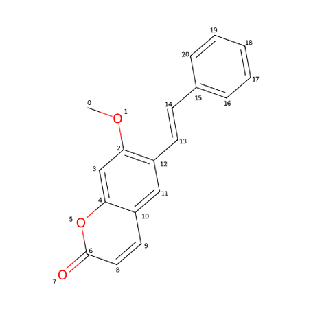 COc1cc2oc(=O)ccc2cc1/C=C/c1ccccc1